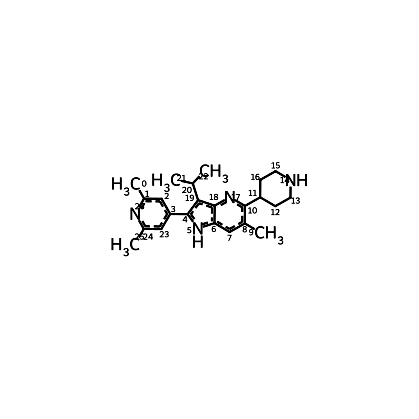 Cc1cc(-c2[nH]c3cc(C)c(C4CCNCC4)nc3c2C(C)C)cc(C)n1